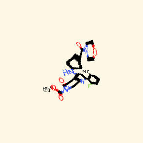 CC(C)(C)OC(=O)N1Cc2nc(-c3c(F)cccc3C#N)cc(Nc3ccc(C(=O)N4CCOCC4)cc3)c2C1=O